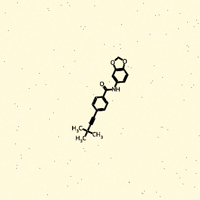 CC(C)(C)C#Cc1ccc(C(=O)Nc2ccc3c(c2)OCO3)cc1